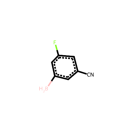 Bc1cc(F)cc(C#N)c1